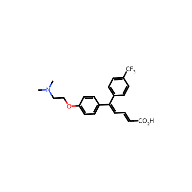 CN(C)CCOc1ccc(/C(=C/C=C/C(=O)O)c2ccc(C(F)(F)F)cc2)cc1